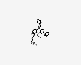 C=CCOCc1nccc(N(OCc2ccccc2)[C@H]2CC[C@@H](c3ccccc3)CC2)c1OC